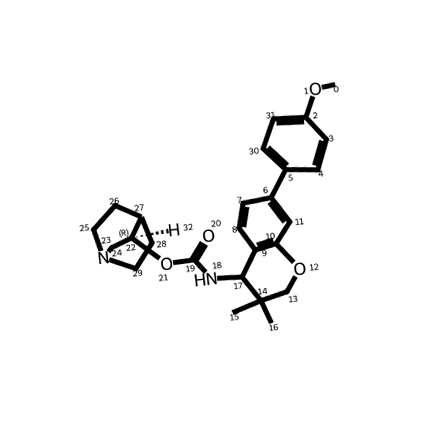 COc1ccc(-c2ccc3c(c2)OCC(C)(C)C3NC(=O)O[C@H]2CN3CCC2CC3)cc1